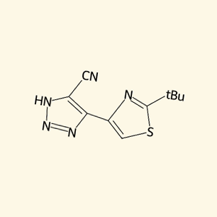 CC(C)(C)c1nc(-c2nn[nH]c2C#N)cs1